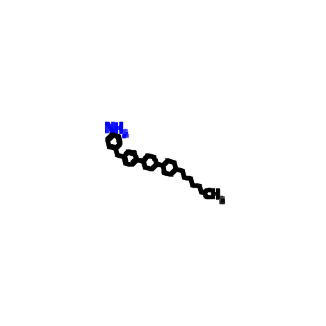 CCCCCCCC1CCC(C2CCC(c3ccc(Cc4ccc(N)cc4)cc3)CC2)CC1